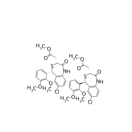 COC(=O)C[C@H]1S[C@@H](c2cccc(OC)c2OC)c2cc(Cl)ccc2NC1=O.COC(=O)C[C@H]1S[C@H](c2cccc(OC)c2OC)c2cc(Cl)ccc2NC1=O